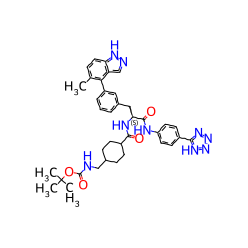 Cc1ccc2[nH]ncc2c1-c1cccc(C[C@H](NC(=O)C2CCC(CNC(=O)OC(C)(C)C)CC2)C(=O)Nc2ccc(-c3nnn[nH]3)cc2)c1